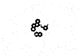 Fc1cccc(COc2cc3c4c(ccc3c3ccccc23)CCCC4)c1.c1ccc2cnccc2c1